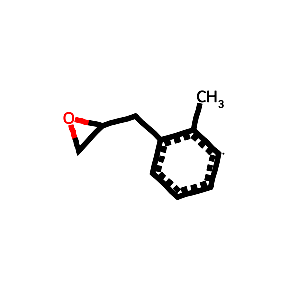 Cc1[c]cccc1CC1CO1